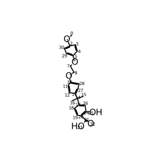 COc1ccc(OCCOc2ccc(C(C)(C)c3ccc(C(=O)O)c(O)c3)cc2)cc1